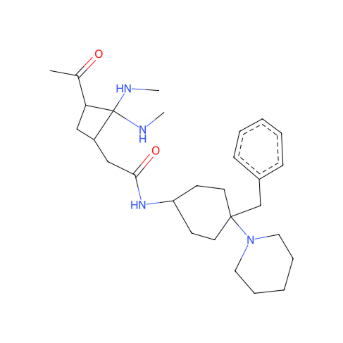 CNC1(NC)C(CC(=O)NC2CCC(Cc3ccccc3)(N3CCCCC3)CC2)CC1C(C)=O